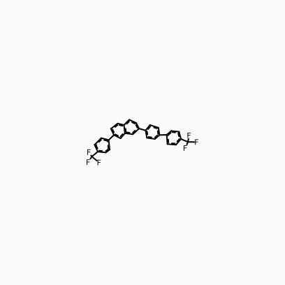 FC(F)(F)c1ccc(-c2ccc(-c3ccc4ccc(-c5ccc(C(F)(F)F)cc5)cc4c3)cc2)cc1